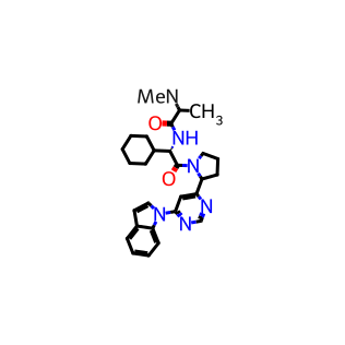 CNC(C)C(=O)N[C@H](C(=O)N1CCCC1c1cc(-n2ccc3ccccc32)ncn1)C1CCCCC1